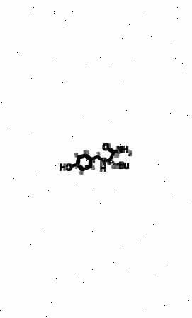 CCCC[C@H](NCc1ccc(O)cc1)C(N)=O